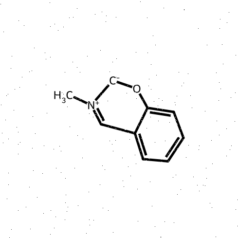 C[N+]1=Cc2ccccc2O[CH-]1